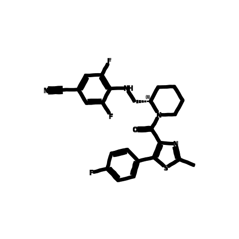 Cc1nc(C(=O)N2CCCC[C@H]2CNc2c(F)cc(C#N)cc2F)c(-c2ccc(F)cc2)s1